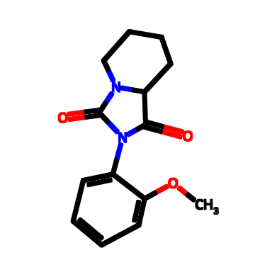 COc1ccccc1N1C(=O)C2CCCCN2C1=O